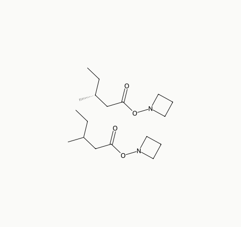 CCC(C)CC(=O)ON1CCC1.CC[C@@H](C)CC(=O)ON1CCC1